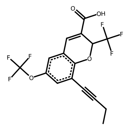 CCC#Cc1cc(OC(F)(F)F)cc2c1OC(C(F)(F)F)C(C(=O)O)=C2